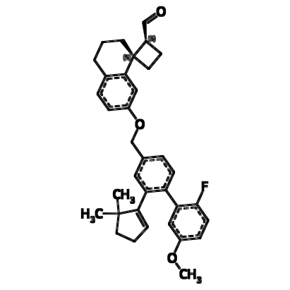 COc1ccc(F)c(-c2ccc(COc3ccc4c(c3)[C@@]3(CCC4)CC[C@@H]3C=O)cc2C2=CCCC2(C)C)c1